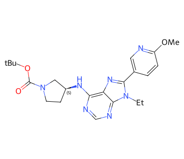 CCn1c(-c2ccc(OC)nc2)nc2c(N[C@H]3CCN(C(=O)OC(C)(C)C)C3)ncnc21